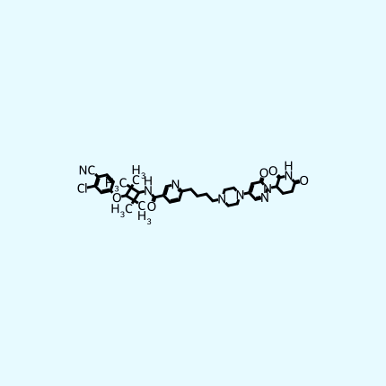 CC1(C)C(NC(=O)c2ccc(CCCCN3CCN(c4cnn(C5CCC(=O)NC5=O)c(=O)c4)CC3)nc2)C(C)(C)C1Oc1ccc(C#N)c(Cl)c1